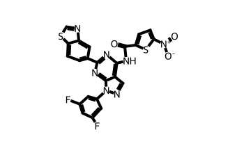 O=C(Nc1nc(-c2ccc3scnc3c2)nc2c1cnn2-c1cc(F)cc(F)c1)c1ccc([N+](=O)[O-])s1